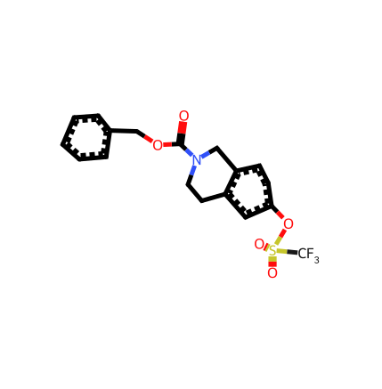 O=C(OCc1ccccc1)N1CCc2cc(OS(=O)(=O)C(F)(F)F)ccc2C1